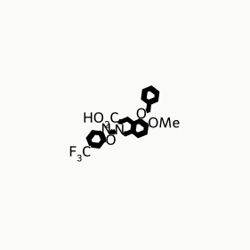 COc1ccc2c(c1OCc1ccccc1)CC(C(=O)O)N(c1nc3ccc(C(F)(F)F)cc3o1)C2